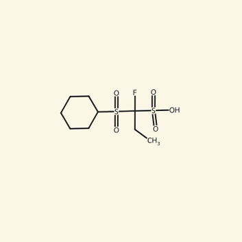 CCC(F)(S(=O)(=O)O)S(=O)(=O)C1CCCCC1